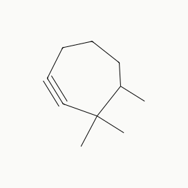 CC1CCCC#CC1(C)C